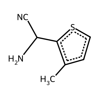 Cc1ccsc1C(N)C#N